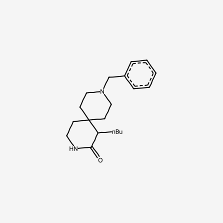 CCCCC1C(=O)NCCC12CCN(Cc1ccccc1)CC2